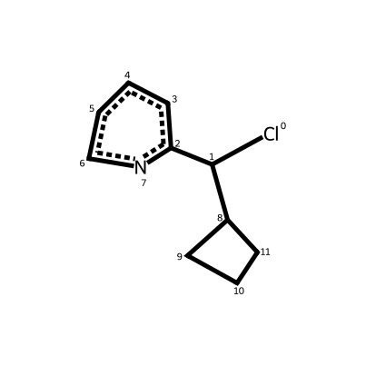 ClC(c1ccccn1)C1CCC1